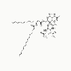 CCCCCCCCCCCCCCCC(=O)O[C@H](CCCCCCCCCCC)CC(=O)OC[C@H]1OC(O)[C@H](NC(C)=O)[C@H](OC(C)C(=O)N[C@@H](C)C(=O)N[C@H](CCC(=O)OC)C(N)=O)[C@@H]1O